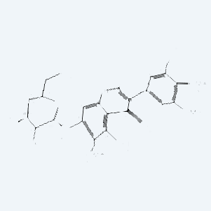 COc1cc(-c2coc3cc(O[C@@H]4OC(CO)[C@@H](O)[C@H](O)C4O)c(OC)c(O)c3c2=O)cc(O)c1OC